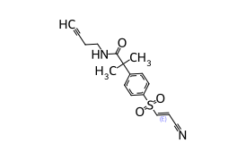 C#CCCNC(=O)C(C)(C)c1ccc(S(=O)(=O)/C=C/C#N)cc1